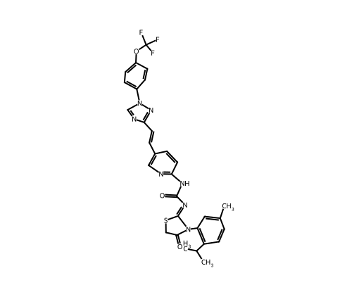 Cc1ccc(C(C)C)c(N2C(=O)CSC2=NC(=O)Nc2ccc(C=Cc3ncn(-c4ccc(OC(F)(F)F)cc4)n3)cn2)c1